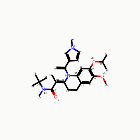 C=C(c1ccn(C)c1)N1/C(=C(\C)C(=O)N(C)C(C)(C)C)CCc2cc(OC)c(OC(C)C)cc21